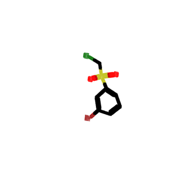 O=S(=O)(CCl)c1cccc(Br)c1